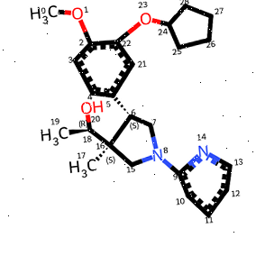 COc1ccc([C@@H]2CN(c3ccccn3)C[C@@]2(C)[C@@H](C)O)cc1OC1CCCC1